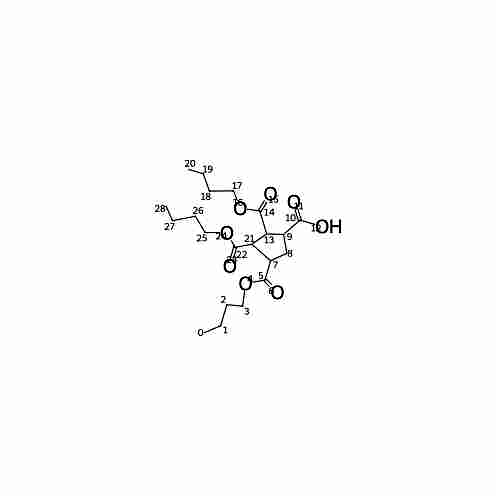 CCCCOC(=O)C1CC(C(=O)O)C(C(=O)OCCCC)C1C(=O)OCCCC